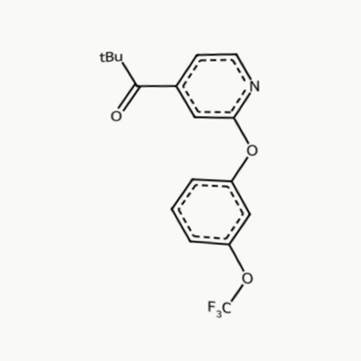 CC(C)(C)C(=O)c1ccnc(Oc2cccc(OC(F)(F)F)c2)c1